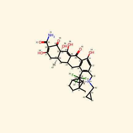 CC1(C)C2CCC1(C)[C@@H](N(Cc1cc(O)c3c(c1C(F)(F)F)CC1C[C@H]4CC(O)=C(C(N)=O)C(=O)[C@@]4(O)C(O)=C1C3=O)CC1CC1)C2